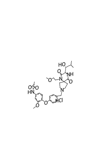 COCCN1C(=O)[C@@H]([C@H](O)C(C)C)NC(=O)C12CCN(Cc1ccc(Oc3ccc(NS(C)(=O)=O)cc3OC)cc1)CC2.Cl